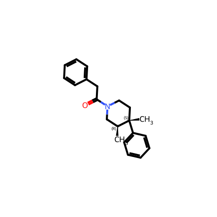 C[C@H]1CN(C(=O)Cc2ccccc2)CC[C@]1(C)c1ccccc1